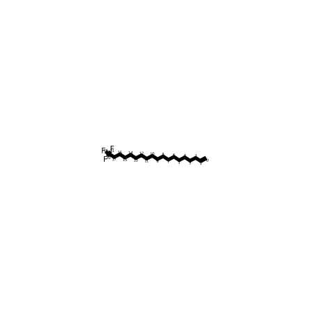 C=CCCCCCCCCCCCCCCCCC(F)(F)F